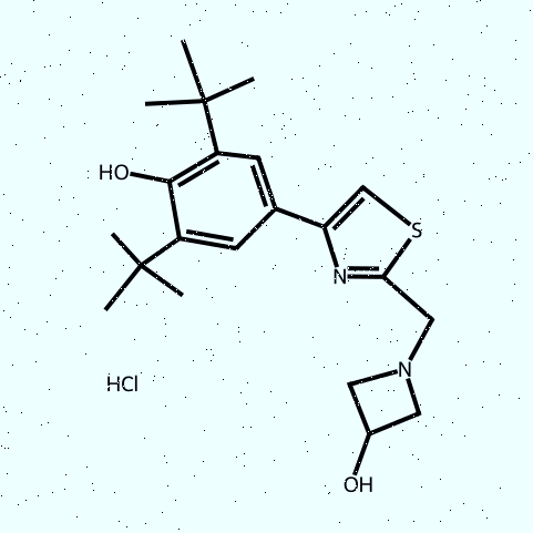 CC(C)(C)c1cc(-c2csc(CN3CC(O)C3)n2)cc(C(C)(C)C)c1O.Cl